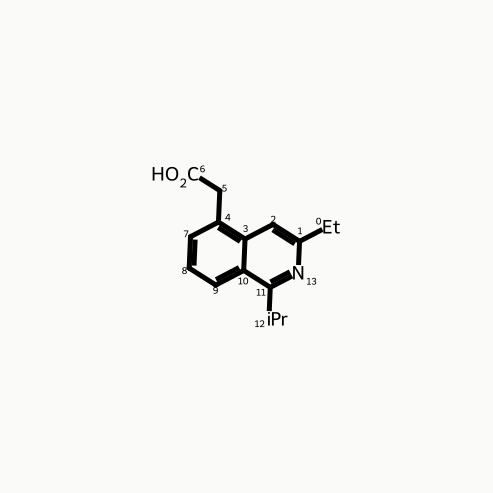 CCc1cc2c(CC(=O)O)cccc2c(C(C)C)n1